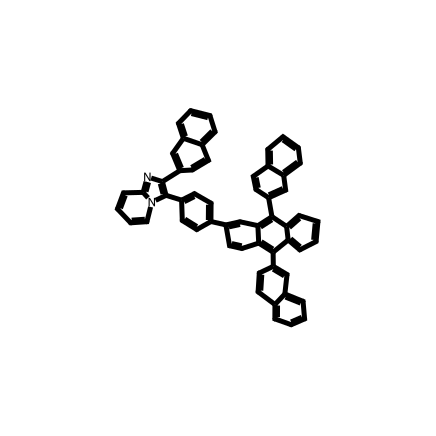 c1ccc2cc(-c3nc4ccccn4c3-c3ccc(-c4ccc5c(-c6ccc7ccccc7c6)c6ccccc6c(-c6ccc7ccccc7c6)c5c4)cc3)ccc2c1